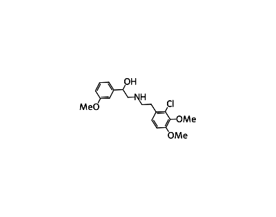 COc1cccc(C(O)CNCCc2ccc(OC)c(OC)c2Cl)c1